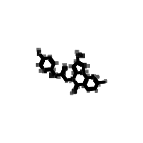 Cc1ccc2c(=O)n(CC(=O)Nc3ccc(F)cn3)c3cc(C(C)(C)C)nn3c2n1